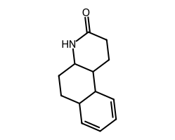 O=C1CCC2C(CCC3C=CC=CC32)N1